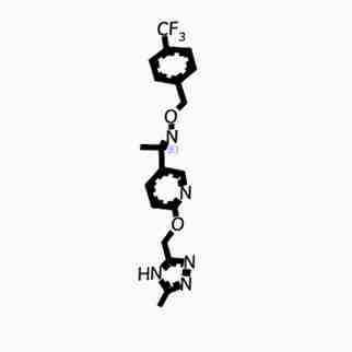 C/C(=N\OCc1ccc(C(F)(F)F)cc1)c1ccc(OCc2nnc(C)[nH]2)nc1